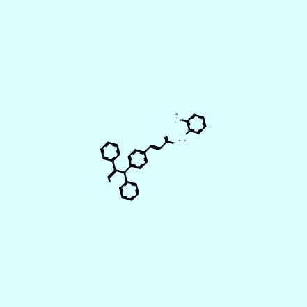 CC=C(c1ccccc1)C(c1ccccc1)c1ccc(C=CC(=O)NS(=O)(=O)c2ccccc2[N+](=O)[O-])cc1